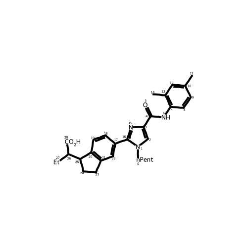 CCCCCn1cc(C(=O)Nc2ccc(C)cc2C)nc1-c1ccc2c(c1)CCC2C(CC)C(=O)O